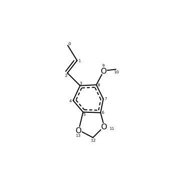 C/C=C/c1cc2c(cc1OC)OCO2